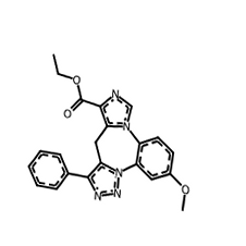 CCOC(=O)c1ncn2c1Cc1c(-c3ccccc3)nnn1-c1cc(OC)ccc1-2